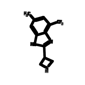 FC(F)(F)c1cc(C(F)(F)F)c2nc(C3CNC3)[nH]c2c1